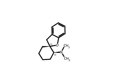 CN(C)[C@H]1CCCC[C@]12Cc1ccccc1O2